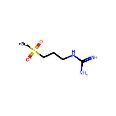 CCCCS(=O)(=O)CCCNC(=N)N